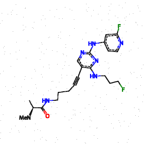 CN[C@@H](C)C(=O)NCCCC#Cc1cnc(Nc2ccnc(F)c2)nc1NCCCF